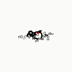 CC(C)[C@@H]1NC(=O)[C@@H](NC(=O)[C@@H](O)C(C)(C)C)Cc2ccc3c(c2)C2(c4ccccc4NC2O3)c2oc1nc2-c1nc(C(=O)O)co1